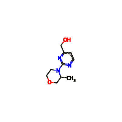 CC1COCCN1c1nccc(CO)n1